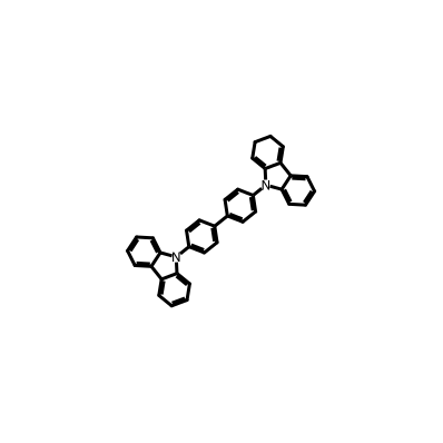 C1=c2c(n(-c3ccc(-c4ccc(-n5c6ccccc6c6ccccc65)cc4)cc3)c3ccccc23)=CCC1